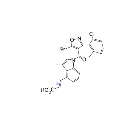 Cc1cccc(Cl)c1-c1noc(C(C)C)c1C(=O)n1cc(C)c2c(/C=C/C(=O)O)cccc21